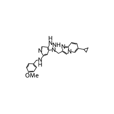 COc1ccc(CNc2cc3c(cn2)NNN3Cc2cn3cc(C4CC4)ccc3n2)cc1